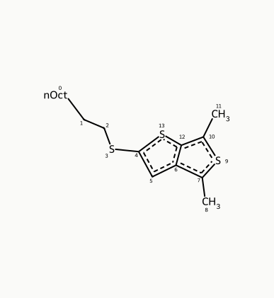 CCCCCCCCCCSc1cc2c(C)sc(C)c2s1